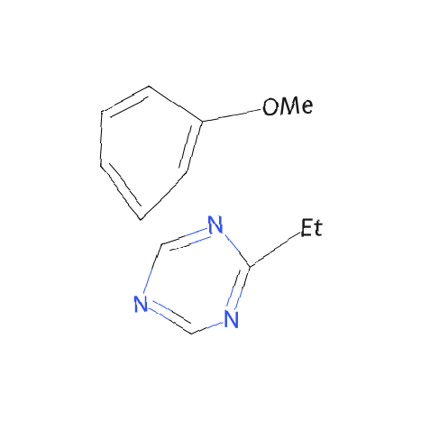 CCc1ncncn1.COc1ccccc1